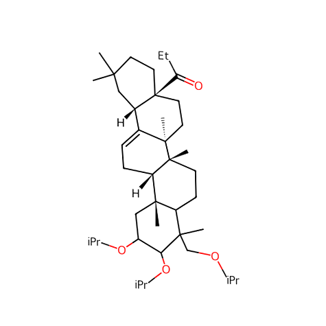 CCC(=O)[C@]12CCC(C)(C)C[C@H]1C1=CC[C@H]3[C@@]4(C)CC(OC(C)C)C(OC(C)C)C(C)(COC(C)C)C4CC[C@@]3(C)[C@]1(C)CC2